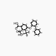 O=C(O)c1ccc(Oc2ccccc2-c2ccccc2)c(C(F)(F)F)c1C(=O)O